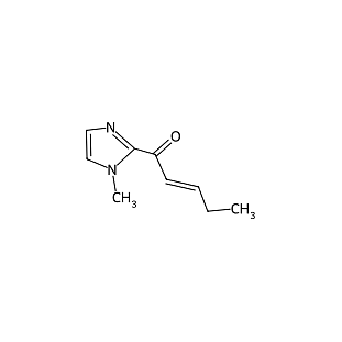 CC/C=C/C(=O)c1nccn1C